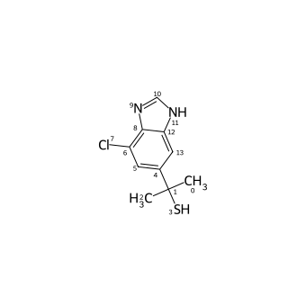 CC(C)(S)c1cc(Cl)c2nc[nH]c2c1